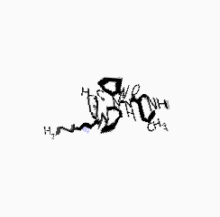 CC1=CNCC(C(=O)Nc2nc3cccc(C)c3n2[C@@H]2CCCCN(C(=O)/C=C/CN)C2)=C1